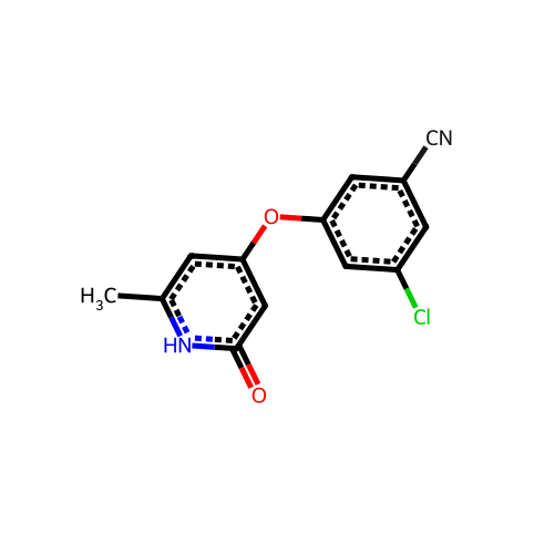 Cc1cc(Oc2cc(Cl)cc(C#N)c2)cc(=O)[nH]1